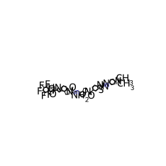 CN(C)c1ccc(/N=N/c2nc3ccc(C(=O)N4CCc5c(/C=C(\N)C(=O)N6CCc7c6ccc6[nH]c(C(=O)Oc8c(F)c(F)c(F)c(F)c8F)cc76)cccc54)cc3s2)cc1